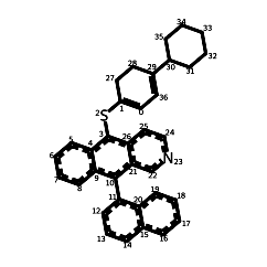 C1=C(Sc2c3ccccc3c(-c3cccc4ccccc34)c3cnccc23)CCC(C2CCCCC2)=C1